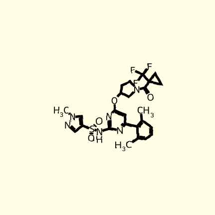 Cc1cccc(C)c1-c1cc(OC2CCN(C(=O)C3(C(F)(F)F)CC3)C2)nc(NS(=O)(=O)c2cnn(C)c2)n1